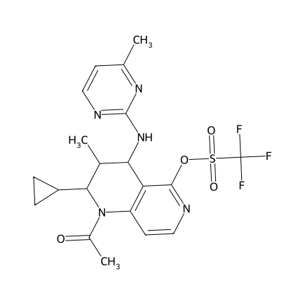 CC(=O)N1c2ccnc(OS(=O)(=O)C(F)(F)F)c2C(Nc2nccc(C)n2)C(C)C1C1CC1